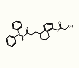 O=C(CCC1CCCc2c(OC(=O)CO)cccc21)NN(c1ccccc1)c1ccccc1